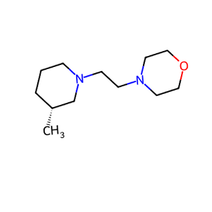 C[C@@H]1CCCN(CCN2CCOCC2)C1